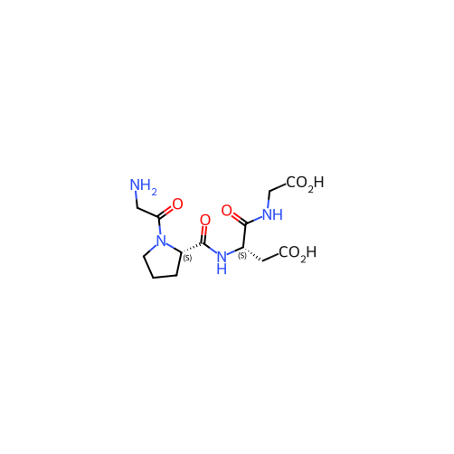 NCC(=O)N1CCC[C@H]1C(=O)N[C@@H](CC(=O)O)C(=O)NCC(=O)O